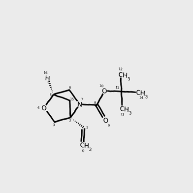 C=C[C@@]12CO[C@@H](CN1C(=O)OC(C)(C)C)C2